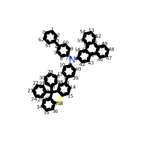 c1ccc(-c2ccc(N(c3ccc(-c4ccc5c(c4)C(c4ccccc4)(c4ccccc4)c4ccccc4S5)cc3)c3ccc4c5ccccc5c5ccccc5c4c3)cc2)cc1